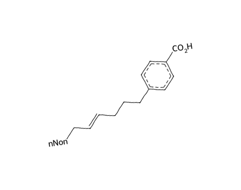 CCCCCCCCCCC=CCCCc1ccc(C(=O)O)cc1